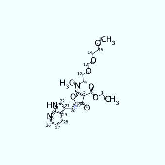 CCOC(=O)C1=C(N(C)CCOCOCCOC)O/C(=C\c2c[nH]c3ncccc23)C1=O